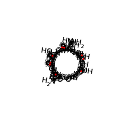 CC(C)C1NC(=O)[C@H](CC(=O)O)NC(=O)[C@H](C)N(C)C(=O)CNC(=O)CSC[C@@H](C(=O)NCC(N)=O)NC(=O)[C@@H]2CCCN2C(=O)[C@H](Cc2ccccc2)N(C)C(=O)[C@H](Cc2ccc(O)cc2)NC(=O)CN(C)C(=O)[C@H](Cc2ccccc2)N(C)C(=O)[C@H](CCCNC(=N)N)NC(=O)CNC(=O)[C@H](CO)N(C)C1=O